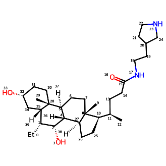 CC[C@H]1[C@@H](O)[C@@H]2[C@H](CC[C@]3(C)[C@@H]([C@H](C)CCC(=O)NCCC4CCNC4)CC[C@@H]23)[C@@]2(C)CC[C@@H](O)C[C@@H]12